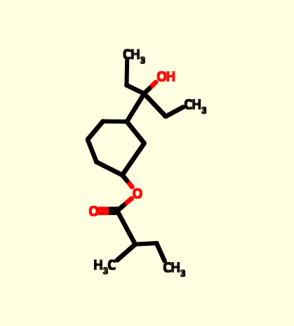 CCC(C)C(=O)OC1CCCC(C(O)(CC)CC)C1